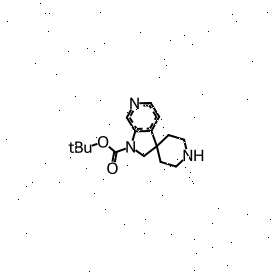 CC(C)(C)OC(=O)N1CC2(CCNCC2)c2ccncc21